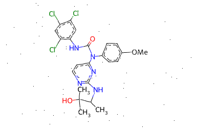 COc1ccc(N(C(=O)Nc2cc(Cl)c(Cl)cc2Cl)c2ccnc(NC(C)C(C)(C)O)n2)cc1